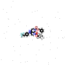 CC(C)(C)OC(=O)N1CCc2c3c(nn2-c2ccc(CC(F)(F)F)cc2)CCN(C(=O)OCc2ccccc2)CC31